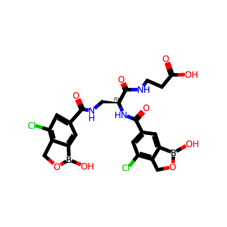 O=C(O)CCNC(=O)[C@H](CNC(=O)c1cc(Cl)c2c(c1)B(O)OC2)NC(=O)c1cc(Cl)c2c(c1)B(O)OC2